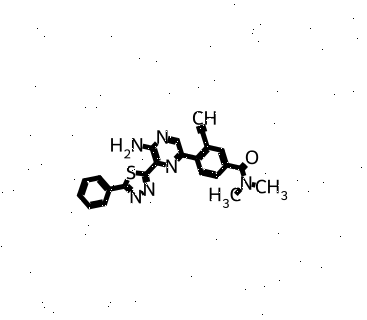 C#Cc1cc(C(=O)N(C)C)ccc1-c1cnc(N)c(-c2nnc(-c3ccccc3)s2)n1